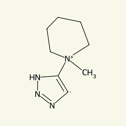 C[N+]1(c2[c]nn[nH]2)CCCCC1